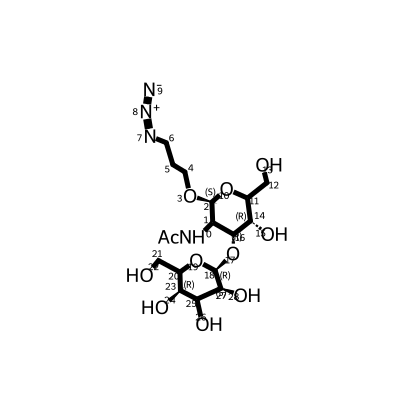 CC(=O)NC1[C@@H](OCCCN=[N+]=[N-])OC(CO)[C@H](O)[C@@H]1O[C@@H]1OC(CO)[C@H](O)C(O)[C@@H]1O